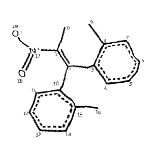 CC(=C(c1ccccc1C)c1ccccc1C)[N+](=O)[O-]